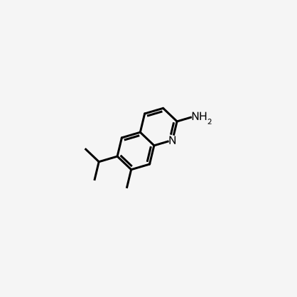 Cc1cc2nc(N)ccc2cc1C(C)C